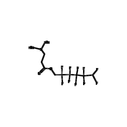 CCCCN(CCCC)CCC(=O)OCC(F)(F)C(F)(F)C(F)(F)C(F)(F)C(F)F